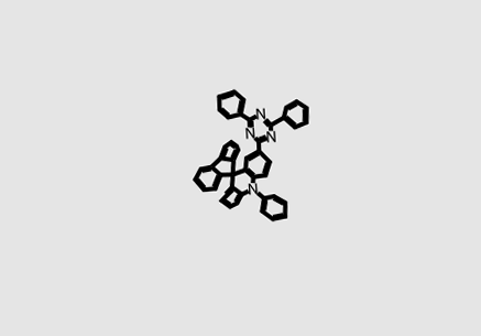 c1ccc(-c2nc(-c3ccccc3)nc(-c3ccc4c(c3)C3(c5ccccc5-c5ccccc53)c3ccccc3N4c3ccccc3)n2)cc1